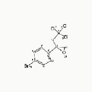 ClC(Cl)(Cl)CC1(c2ccc(Br)cc2)CO1